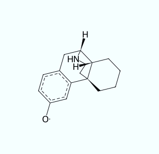 [O]c1ccc2c(c1)[C@@]13CCCC[C@H]1[C@@H](C2)NCC3